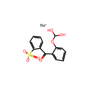 O=C(c1ccccc1OC(O)O)c1ccccc1S(=O)(=O)[O-].[Na+]